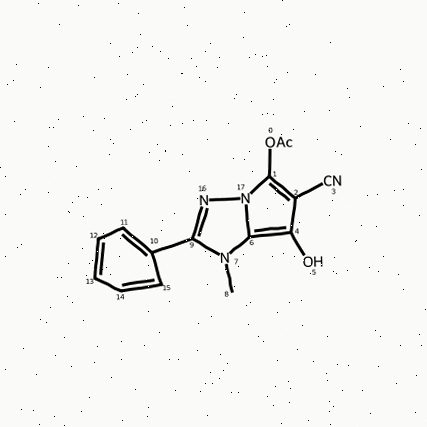 CC(=O)Oc1c(C#N)c(O)c2n(C)c(-c3ccccc3)nn12